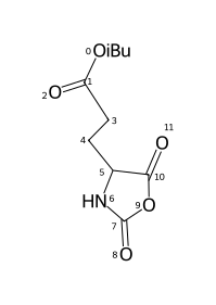 CC(C)COC(=O)CCC1NC(=O)OC1=O